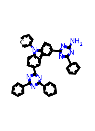 Nc1nc(-c2ccccc2)nc(-c2ccc3c(c2)c2cc(-c4nc(-c5ccccc5)nc(-c5ccccc5)n4)ccc2n3-c2ccccc2)n1